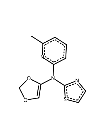 Cc1cccc(N(C2=COCO2)c2nccs2)n1